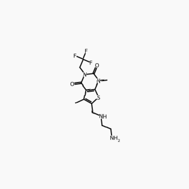 Cc1c(CNCCN)sc2c1c(=O)n(CC(F)(F)F)c(=O)n2C